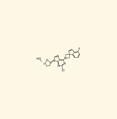 OC[C@H]1CC[C@H](n2cnc3c(N4CC5(C=Cc6c(F)cccc65)C4)nc(Cl)nc32)O1